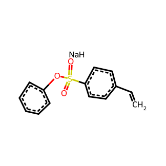 C=Cc1ccc(S(=O)(=O)Oc2ccccc2)cc1.[NaH]